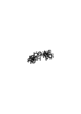 O=S(=O)(Nc1cccc(OCc2cnn(-c3c(F)cccc3F)n2)c1)C(F)(F)F